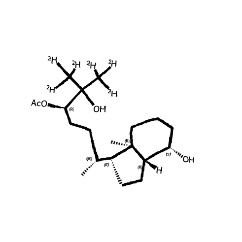 [2H]C([2H])([2H])C(O)([C@@H](CC[C@@H](C)[C@H]1CC[C@H]2[C@@H](O)CCC[C@]12C)OC(C)=O)C([2H])([2H])[2H]